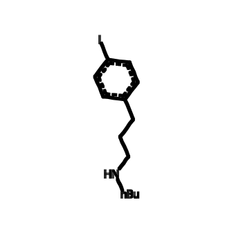 CCCCNCCCc1ccc(I)cc1